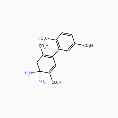 NC1(N)CC(C(=O)O)=C(c2cc(C(=O)O)ccc2C(=O)O)C=C1C(=O)O